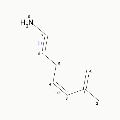 C=C(C)/C=C\C/C=C/N